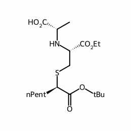 CCCCC[C@@H](SC[C@H](N[C@@H](C)C(=O)O)C(=O)OCC)C(=O)OC(C)(C)C